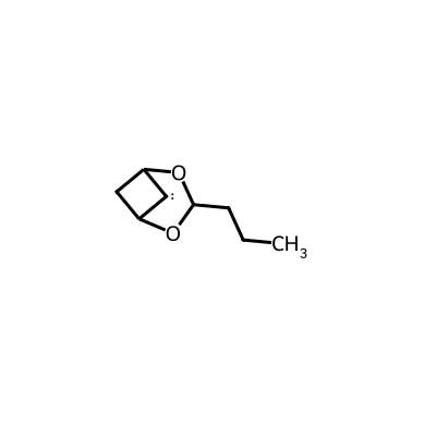 CCCC1OC2[C]C(C2)O1